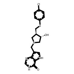 O=c1[nH]cnc2c(CN3C[C@@H](CSc4ccc(Cl)cc4)[C@H](O)C3)c[nH]c12